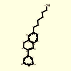 OCCCCCCc1ccc2c(c1)CCC(c1ccccc1)=C2